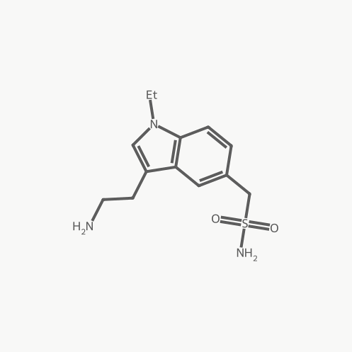 CCn1cc(CCN)c2cc(CS(N)(=O)=O)ccc21